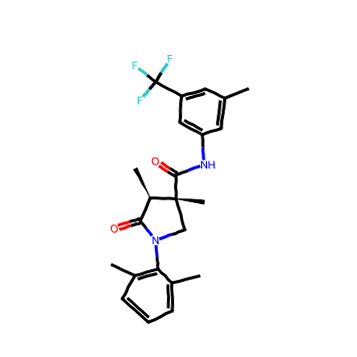 Cc1cc(NC(=O)[C@]2(C)CN(c3c(C)cccc3C)C(=O)[C@H]2C)cc(C(F)(F)F)c1